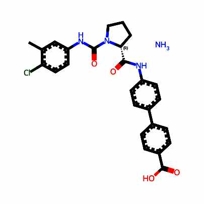 Cc1cc(NC(=O)N2CCC[C@@H]2C(=O)Nc2ccc(-c3ccc(C(=O)O)cc3)cc2)ccc1Cl.N